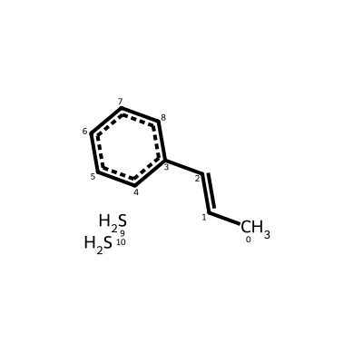 CC=Cc1ccccc1.S.S